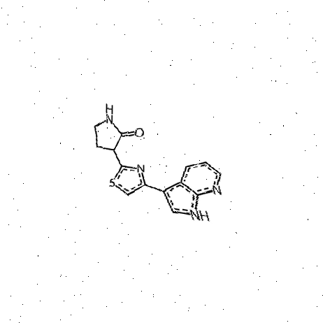 O=C1NCCC1c1nc(-c2c[nH]c3ncccc23)cs1